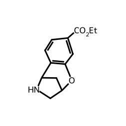 CCOC(=O)c1ccc2c(c1)OC1CNC2C1